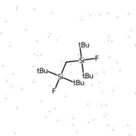 CC(C)(C)[Si](F)(C[Si](F)(C(C)(C)C)C(C)(C)C)C(C)(C)C